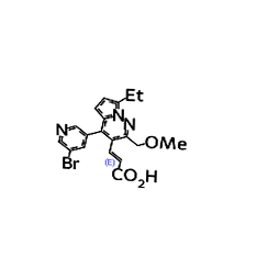 CCc1ccc2c(-c3cncc(Br)c3)c(/C=C/C(=O)O)c(COC)nn12